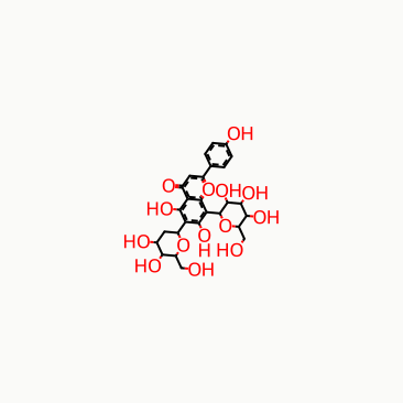 O=c1cc(-c2ccc(O)cc2)oc2c(C3OC(CO)C(O)C(O)C3O)c(O)c(C3CC(O)C(O)C(CO)O3)c(O)c12